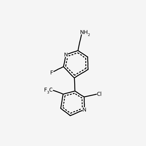 Nc1ccc(-c2c(C(F)(F)F)ccnc2Cl)c(F)n1